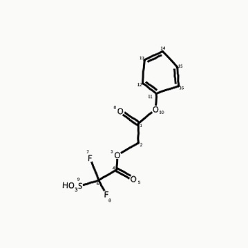 O=C(COC(=O)C(F)(F)S(=O)(=O)O)Oc1ccccc1